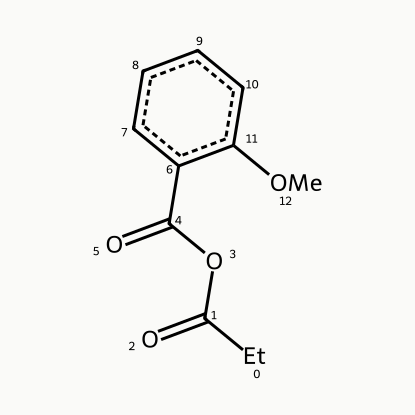 CCC(=O)OC(=O)c1ccccc1OC